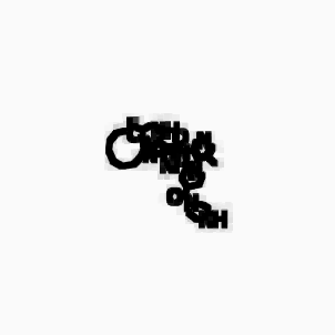 Cc1cncc(NC(=O)c2c(N)nn3c2NCC(F)C32CCCCCCCCCC2)c1N1CCC(C(=O)N2CCNCC2)CC1